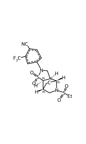 CCS(=O)(=O)N1C[C@H]2CC[C@@H]1[C@@H]1CN(c3ccc(C#N)c(C(F)(F)F)c3)S(=O)(=O)[C@H]21